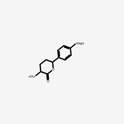 CCCCCCCCC1CCC(c2ccc(CCCCCCC)cc2)OC1=O